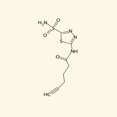 C#CCCCC(=O)Nc1nnc(S(N)(=O)=O)s1